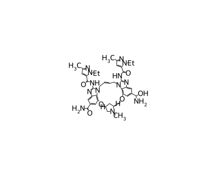 CCn1nc(C)cc1C(=O)Nc1nc2cc(C(N)O)cc3c2n1C/C=C/Cn1c(NC(=O)c2cc(C)nn2CC)nc2cc(C(N)=O)cc(c21)O[C@@H]1C[C@H](CO3)N(C)C1